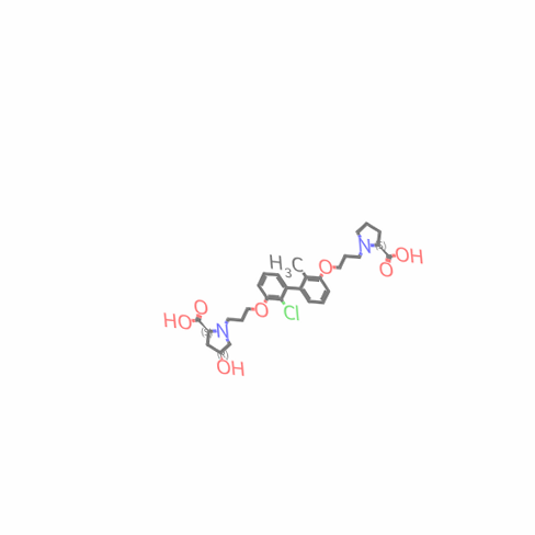 Cc1c(OCCCN2CCC[C@H]2C(=O)O)cccc1-c1cccc(OCCCN2C[C@H](O)C[C@H]2C(=O)O)c1Cl